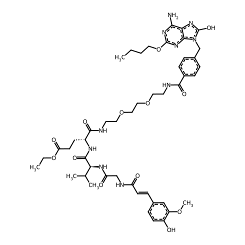 CCCCOc1nc(N)c2nc(O)n(Cc3ccc(C(=O)NCCOCCOCCNC(=O)[C@@H](CCC(=O)OCC)NC(=O)[C@@H](NC(=O)CNC(=O)/C=C/c4ccc(O)c(OC)c4)C(C)C)cc3)c2n1